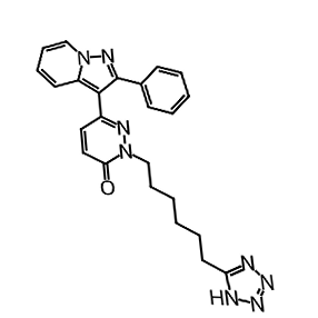 O=c1ccc(-c2c(-c3ccccc3)nn3ccccc23)nn1CCCCCCc1nnn[nH]1